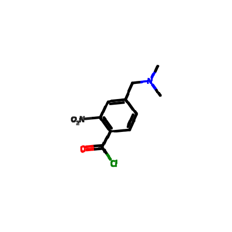 CN(C)Cc1ccc(C(=O)Cl)c([N+](=O)[O-])c1